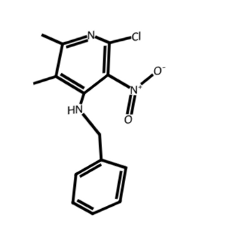 Cc1nc(Cl)c([N+](=O)[O-])c(NCc2ccccc2)c1C